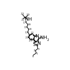 CCCCc1nc2c(N)nc3cc(CCCCCNC(C)(C)C)ccc3c2s1